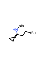 CCCCNC(CCC(C)(C)C)=C1CC1